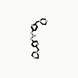 B(Oc1ccc(CN2CCOCC2)nc1)Oc1ccc(CN2CCOCC2)nc1